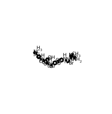 Cc1ncsc1-c1ccc([C@H](C)NC(=O)C2C[C@@H](O)CN2C(=O)[C@@H](NC(=O)C2CCC(S(=O)(=O)N3CCC(Nc4ncc(Br)c(Nc5cnn(C)c5C(N)=O)n4)CC3)CC2)C(C)(C)C)cc1